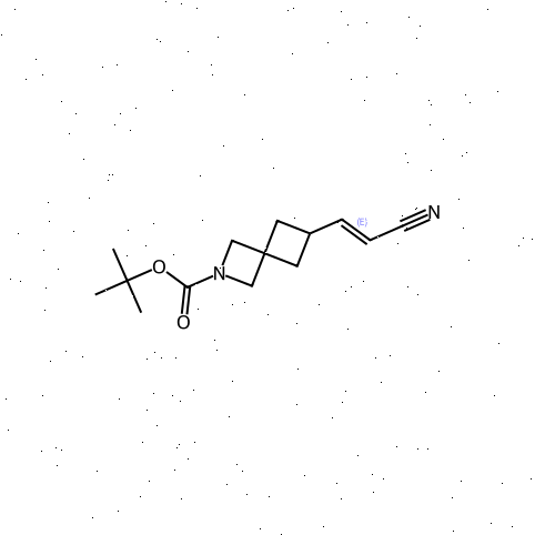 CC(C)(C)OC(=O)N1CC2(CC(/C=C/C#N)C2)C1